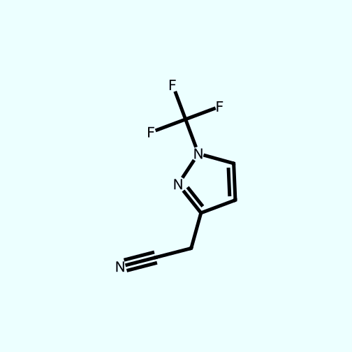 N#CCc1ccn(C(F)(F)F)n1